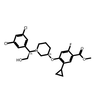 COC(=O)c1cc(C2CC2)c(O[C@@H]2CCCN([C@@H](CO)c3cc(Cl)cc(Cl)c3)C2)cc1F